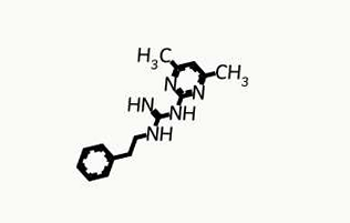 Cc1cc(C)nc(NC(=N)NCCc2ccccc2)n1